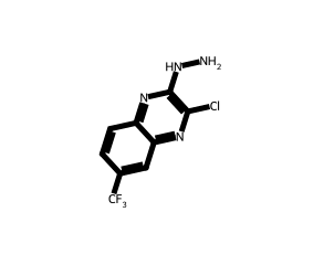 NNc1nc2ccc(C(F)(F)F)cc2nc1Cl